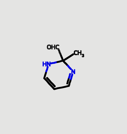 CC1(C=O)N=CC=CN1